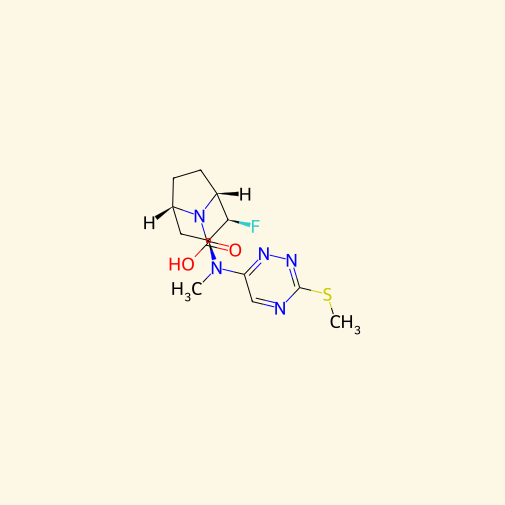 CSc1ncc(N(C)[C@H]2C[C@@H]3CC[C@H]([C@H]2F)N3C(=O)O)nn1